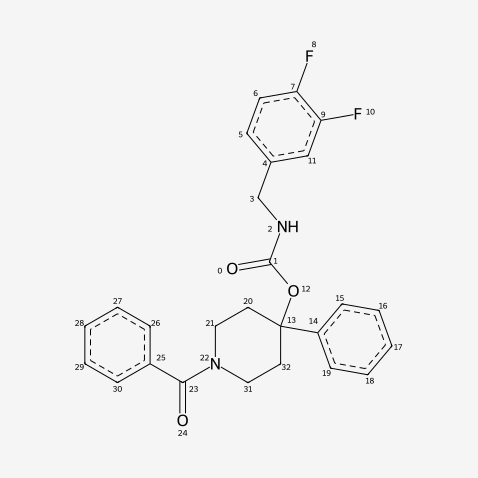 O=C(NCc1ccc(F)c(F)c1)OC1(c2ccccc2)CCN(C(=O)c2ccccc2)CC1